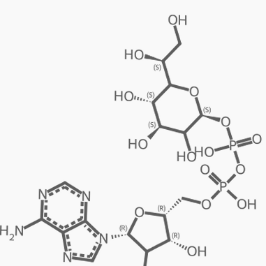 Nc1ncnc2c1ncn2[C@@H]1O[C@H](COP(=O)(O)OP(=O)(O)O[C@@H]2OC([C@@H](O)CO)[C@@H](O)[C@H](O)C2O)[C@H](O)C1O